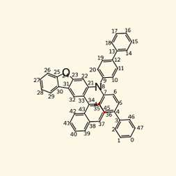 c1ccc(-c2ccc(N(c3ccc(-c4ccccc4)cc3)c3cc4oc5ccccc5c4cc3-c3cccc4ccccc34)cc2)cc1